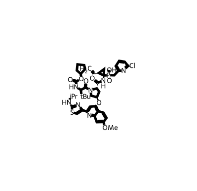 C=C[C@@H]1C[C@]1(NC(=O)[C@@H]1C[C@@H](Oc2cc(-c3csc(NC(C)C)n3)nc3cc(OC)ccc23)CN1C(=O)C(NC(=O)OC1CCCC1)C(C)(C)C)P(=O)(O)Cc1cccc(Cl)n1